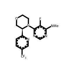 CNc1ncnc(N2CCOC[C@@H]2c2ccc(C(F)(F)F)cn2)c1F